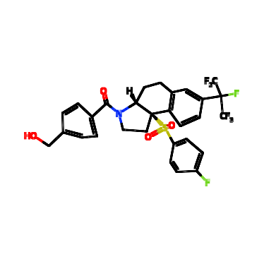 O=C(c1ccc(CO)cc1)N1CC[C@@]2(S(=O)(=O)c3ccc(F)cc3)c3ccc(C(F)(C(F)(F)F)C(F)(F)F)cc3CC[C@@H]12